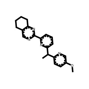 COc1ccc(C(C)c2cccc(-c3ncc4c(n3)CCCC4)n2)nc1